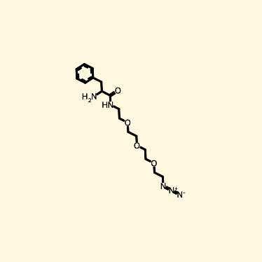 [N-]=[N+]=NCCOCCOCCOCCNC(=O)C(N)Cc1ccccc1